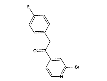 O=C(Cc1ccc(F)cc1)c1ccnc(Br)c1